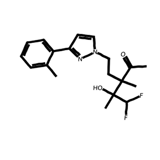 CC(=O)C(C)(CCn1ccc(-c2ccccc2C)n1)C(C)(O)C(F)F